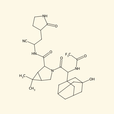 CC1(C)C2CN(C(=O)C(NC(=O)C(F)(F)F)C34CC5CC(CC(O)(C5)C3)C4)C(C(=O)NC(C#N)CC3CCNC3=O)C21